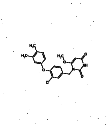 COc1cc(=O)[nH]c(=O)n1Cc1ccc(Oc2ccc(C)c(C)c2)c(Cl)c1